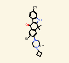 CCc1cc2c(cc1N1CCN(C3CCC3)[C@@H](C)C1)C(C)(C)c1[nH]c3cc(C#N)ccc3c1C2=O